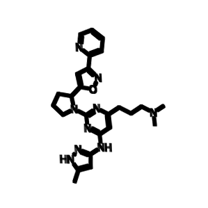 Cc1cc(Nc2cc(CCCN(C)C)nc(N3CCCC3c3cc(-c4ccccn4)no3)n2)n[nH]1